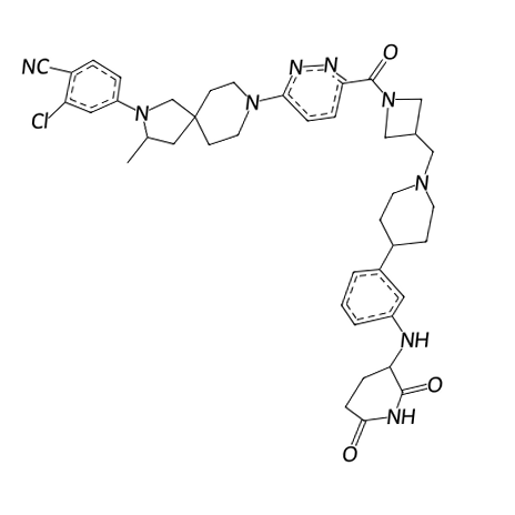 CC1CC2(CCN(c3ccc(C(=O)N4CC(CN5CCC(c6cccc(NC7CCC(=O)NC7=O)c6)CC5)C4)nn3)CC2)CN1c1ccc(C#N)c(Cl)c1